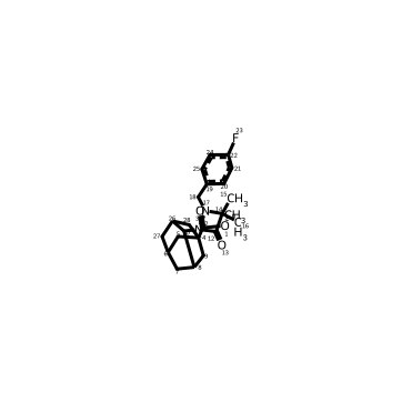 COC(=O)C12CC3CC(C1)C(N1C(=O)C(C)(C)N1Cc1ccc(F)cc1)C(C3)C2